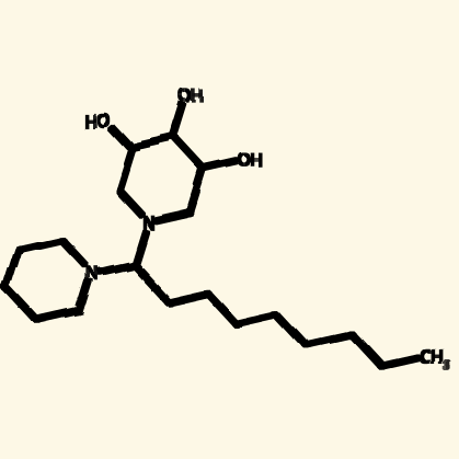 CCCCCCCCC(N1CCCCC1)N1CC(O)C(O)C(O)C1